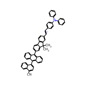 CC1(C)c2cc(/C=C/c3ccc(N(c4ccccc4)c4ccccc4)cc3)ccc2-c2ccc(-c3c4ccccc4c(-c4ccc(C#N)c5ccccc45)c4ccccc34)cc21